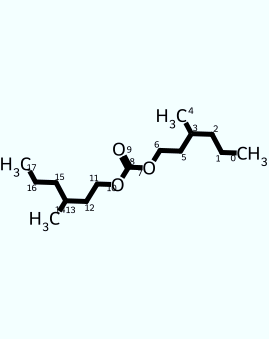 CCCC(C)CCOC(=O)OCCC(C)CCC